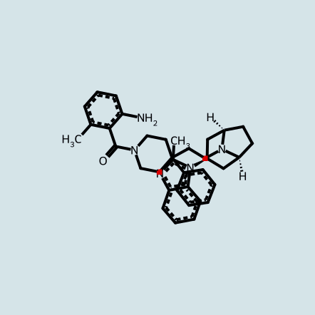 Cc1cccc(N)c1C(=O)N1CCC(CCN2[C@@H]3CC[C@H]2C[C@@H](n2c(C)nc4ccccc42)C3)(c2ccccc2)CC1